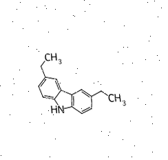 CCc1ccc2[nH]c3ccc(CC)cc3c2c1